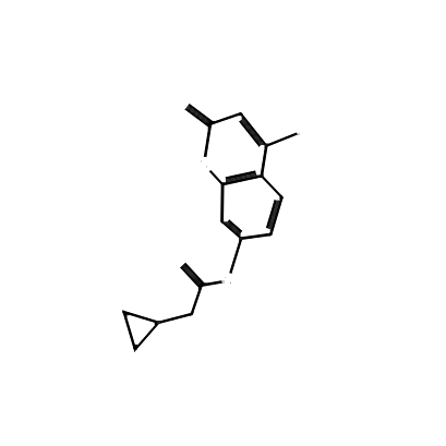 CCCCc1cc(=O)[nH]c2cc(NC(=O)CC3CC3)ccc12